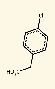 O=C(O)Cc1c[c]c(Cl)cc1